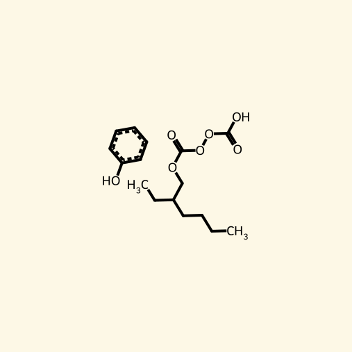 CCCCC(CC)COC(=O)OOC(=O)O.Oc1ccccc1